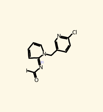 O=C(I)/N=c1\ccccn1Cc1ccc(Cl)nc1